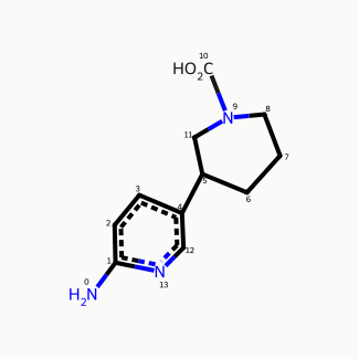 Nc1ccc(C2CCCN(C(=O)O)C2)cn1